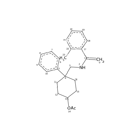 C=C(NCC1(c2ccccc2)CCC(OC(C)=O)CC1)c1ccccc1C